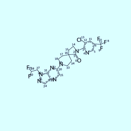 O=C1N(c2ncc(C(F)(F)F)cc2Cl)CCC12CCN(c1cnc3cnn(CC(F)F)c3n1)CC2